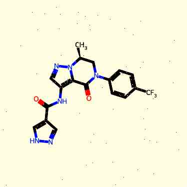 C[C@H]1CN(c2ccc(C(F)(F)F)cc2)C(=O)c2c(NC(=O)c3cn[nH]c3)cnn21